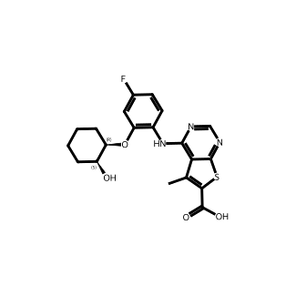 Cc1c(C(=O)O)sc2ncnc(Nc3ccc(F)cc3O[C@@H]3CCCC[C@@H]3O)c12